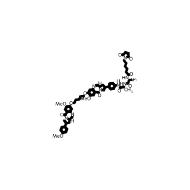 COc1ccc(C2=CN3C(=O)c4cc(OC)c(OCCCCCOc5cc6c(cc5OC)C(=O)N5C=C(c7ccc(NC(=O)[C@H](C)NC(=O)C(NC(=O)CCCCCN8C(=O)C=CC8=O)C(C)C)cc7)C[C@H]5C=N6)cc4N=C[C@@H]3C2)cc1